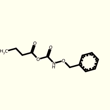 CCCC(=O)OC(=O)NOCc1ccccc1